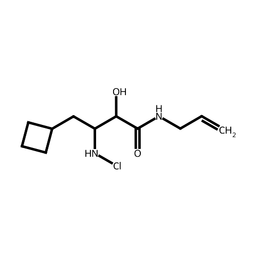 C=CCNC(=O)C(O)C(CC1CCC1)NCl